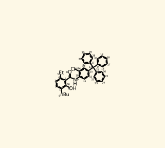 CCCCc1ccc(CC)c(C(=O)Nc2ccc(C(c3ccccc3)(c3ccccc3)c3ccccc3)cc2Cl)c1O